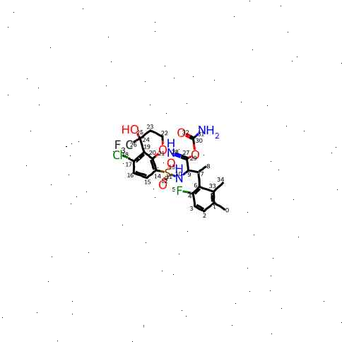 Cc1ccc(F)c(C(C)C(NS(=O)(=O)c2ccc(Cl)c3c2OCCC3(O)C(F)(F)F)C(=N)OC(N)=O)c1C